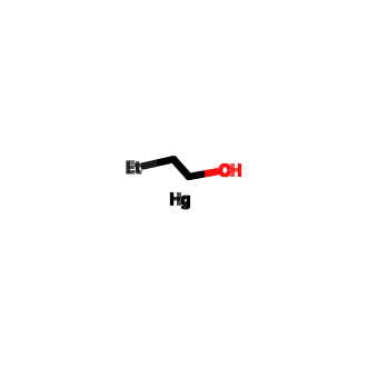 [CH2]CCCO.[Hg]